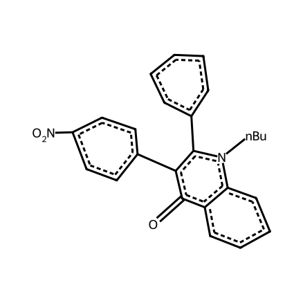 CCCCn1c(-c2ccccc2)c(-c2ccc([N+](=O)[O-])cc2)c(=O)c2ccccc21